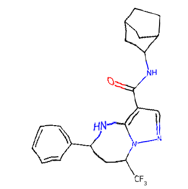 O=C(NC1CC2CCC1C2)c1cnn2c1NC(c1ccccc1)CC2C(F)(F)F